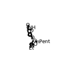 CCCCCC(=O)O[C@@H](COc1ccc(CC2SC(=O)NC2=O)cc1)c1ccc(CC)nc1